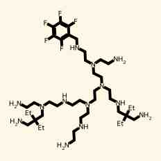 CCC(CC)(CN)CNCCN(CCN(CCN)CCNCc1c(F)c(F)c(F)c(F)c1F)CCN(CCNCCN)CCNCCN(CCN)CC(CC)(CC)CN